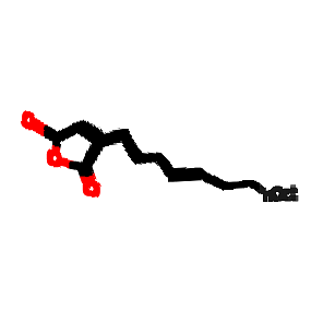 CCCCCCCCCCC=CCCCC1CC(=O)OC1=O